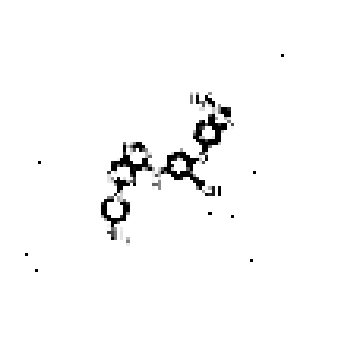 C#Cc1cc(Nc2ncnc3cnc(N4CCC(N)CC4)nc23)ccc1Oc1ccc2c(c1)ncn2C